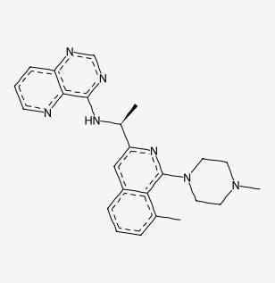 Cc1cccc2cc([C@H](C)Nc3ncnc4cccnc34)nc(N3CCN(C)CC3)c12